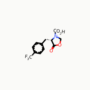 O=C1OCN(C(=O)O)[C@H]1Cc1ccc(C(F)(F)F)cc1